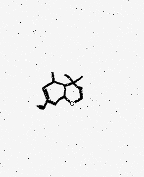 CC1=CC(C)C2C(C1)OCCC2(C)C